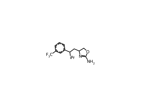 CC(C)C(CC1COC(N)=N1)c1cccc(C(F)(F)F)c1